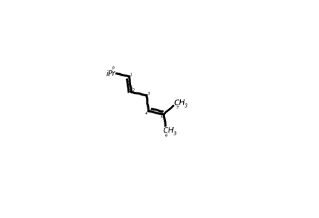 [CH2]C(C)C=CCC=C(C)C